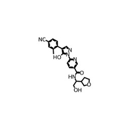 Cc1cc(C#N)ccc1-c1cnn(-c2ccc(C(=O)NC(CO)C3CCOC3)cn2)c1O